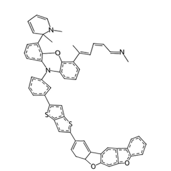 C/N=C/C=C\C=C(/C)c1cccc2c1Oc1c(cccc1C1(C)C=CC=CN1C)N2c1cccc(-c2cc3sc(C4=CCC5Oc6cc7oc8ccccc8c7cc6C5=C4)cc3s2)c1